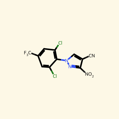 N#Cc1cn(-c2c(Cl)cc(C(F)(F)F)cc2Cl)nc1[N+](=O)[O-]